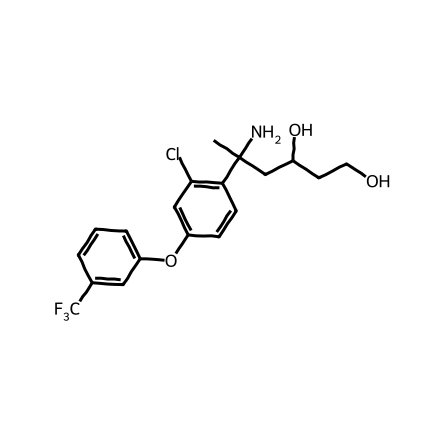 CC(N)(CC(O)CCO)c1ccc(Oc2cccc(C(F)(F)F)c2)cc1Cl